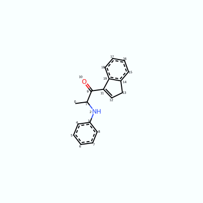 CC(Nc1ccccc1)C(=O)C1=CCc2ccccc21